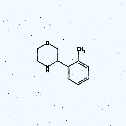 Cc1ccccc1C1COCCN1